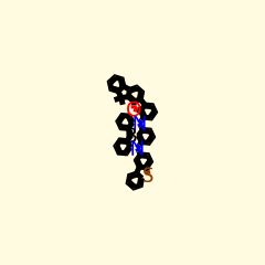 CC1(C)c2ccccc2-c2ccc3c(oc4c(N5c6ccccc6B6c7ccccc7N(c7ccc8sc9ccccc9c8c7)c7cccc5c76)cccc43)c21